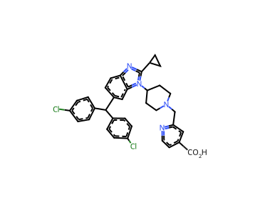 O=C(O)c1ccnc(CN2CCC(n3c(C4CC4)nc4ccc(C(c5ccc(Cl)cc5)c5ccc(Cl)cc5)cc43)CC2)c1